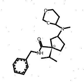 CC(C)[C@]1(C(=O)NCc2ccccc2)CCC(N(C)C2CCOCC2)C1